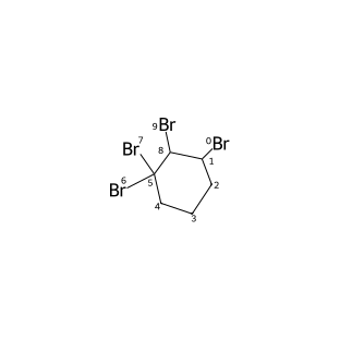 BrC1CCCC(Br)(Br)C1Br